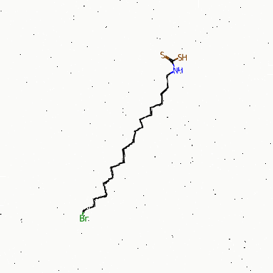 S=C(S)NCCCCCCCCCCCCCCCCCCCBr